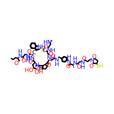 CCCC(C=O)NC(=O)CNC(=O)[C@H]1Cc2c([nH]c3ccccc23)SC[C@H](NC(=O)CNC)C(=O)N[C@@H](CC(=O)NCc2ccc(NC(=O)[C@H](C)NC(=O)CNC(=O)CCN3C(=O)CC(S)C3=O)cc2)C(=O)C2CCC[C@H]2C(=O)N(C)C(C[C@@H](O)CO)C(=O)N1